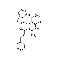 CC(=O)C1=C(C)NC(C)=C(C(=O)OCc2ccccn2)C1c1csc2ccccc12